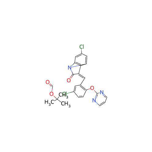 CC(C)(C)OC=O.O=C1C(=Cc2cc(Cl)ccc2Oc2ncccn2)c2c3cc(Cl)cc2N13